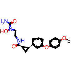 CCOc1ccc(Oc2cccc([C@@H]3C[C@H]3C(=O)NCCN(O)C(N)=O)c2)cc1